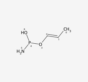 CC=COP(N)O